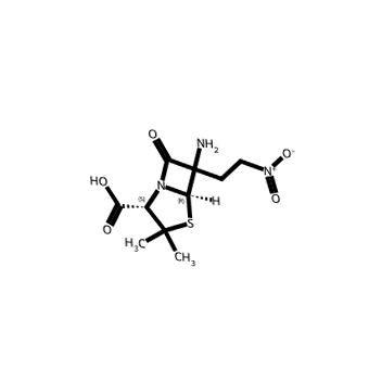 CC1(C)S[C@H]2N(C(=O)C2(N)CC[N+](=O)[O-])[C@H]1C(=O)O